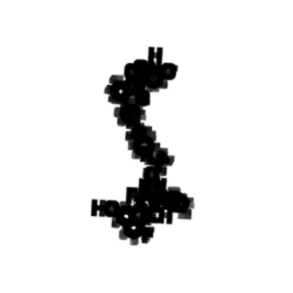 C#Cc1c(F)ccc2cc(O)cc(-c3ncc4c(N5CC6CCC(C5)N6)nc(OCC5(CN6CCC7(CC6)CC(N6CCN(c8cccc9c8C(=O)N(C8CCC(=O)NC8=O)C9=C)CC6)C7)CC5)nc4c3F)c12